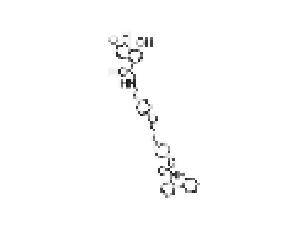 O=C(Nc1ccccc1-c1ccccc1)OC1CCN(CCCOc2ccc(CCNC[C@H](O)c3ccc(O)c4[nH]c(=O)ccc34)cc2)CC1